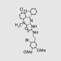 COc1cc(Br)c(CCNC(=S)NC2N=C(c3ccccc3Cl)c3cc(Cl)ccc3N(C)C2=O)cc1OC